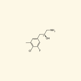 Cc1cc(C[C@H](O)CN)cc(F)c1Cl